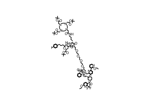 CCOc1ccc(C(=O)N2CCN(c3ccc(-c4cccnc4OCC)nc3CN(CCCOCCOCCOCCOCCNC(=O)[C@@H](CCCCNC(=O)CN3CCN(CC(=O)OC(C)(C)C)CCN(CC(=O)OC(C)(C)C)CCN(CC(=O)OC(C)(C)C)CC3)NC(=O)[C@@H](CCC(=O)OC(C)(C)C)NC(=O)CCCc3ccc(I)cc3)S(=O)(=O)c3ccccc3[N+](=O)[O-])[C@H](CC)C2)c(C(F)(F)F)n1